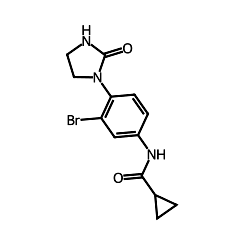 O=C(Nc1ccc(N2CCNC2=O)c(Br)c1)C1CC1